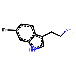 CC(C)c1ccc2c(CCN)c[nH]c2c1